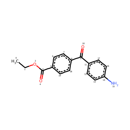 CCOC(=O)c1ccc(C(=O)c2ccc(N)cc2)cc1